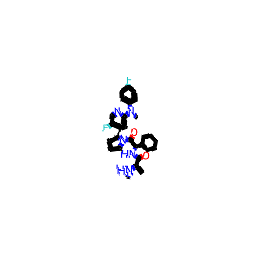 CNC(C)C(=O)NC(C(=O)N1CCC[C@H]1c1cc(N(C)c2ccc(F)cc2)ncc1F)C1CCCCC1